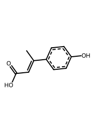 CC(=CC(=O)O)c1ccc(O)cc1